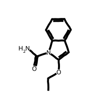 CCOc1cc2ccccc2n1C(N)=O